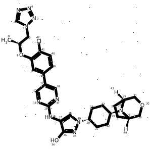 C[C@@H](Cn1cnnn1)Oc1cc(-c2cnc(Nc3cn([C@H]4CC[C@H](N5[C@@H]6CC[C@H]5COC6)CC4)nc3O)nc2)ccc1Cl